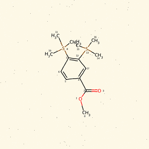 COC(=O)c1ccc(S(C)(C)C)c(S(C)(C)C)c1